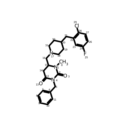 CN1C(=O)N(Cc2ccccc2)C(=O)CC1CN1CCC(Cc2cc(F)ccc2Cl)CC1